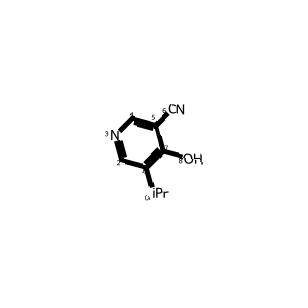 CC(C)c1cncc(C#N)c1O